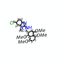 COc1ccc(OC)c2c(OC)c(CNc3nc4ccc(Cl)cc4n3C(C)=O)cc(OC)c12